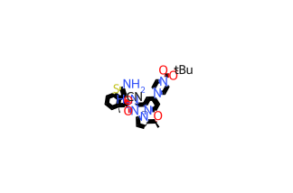 C[C@H](Oc1cc(N2CCN(C(=O)OC(C)(C)C)CC2)cc(/C(N)=N/OC(=O)[C@@]2(C)CCCc3sc(N)c(C#N)c32)n1)[C@@H]1CCCN1C